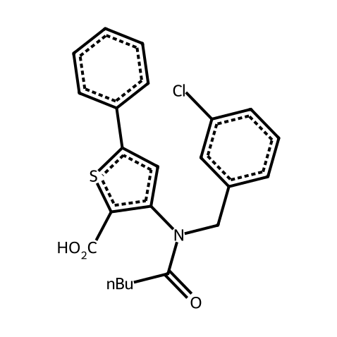 CCCCC(=O)N(Cc1cccc(Cl)c1)c1cc(-c2ccccc2)sc1C(=O)O